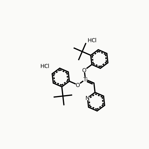 CC(C)(C)c1ccccc1[O][Ti](=[CH]c1ccccn1)[O]c1ccccc1C(C)(C)C.Cl.Cl